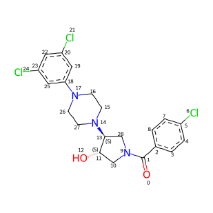 O=C(c1ccc(Cl)cc1)N1C[C@H](O)[C@@H](N2CCN(c3cc(Cl)cc(Cl)c3)CC2)C1